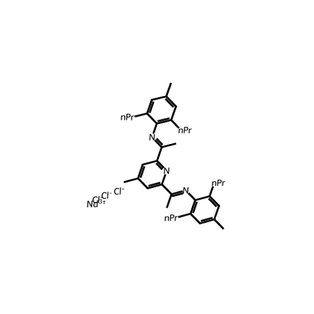 CCCc1cc(C)cc(CCC)c1N=C(C)c1cc(C)cc(C(C)=Nc2c(CCC)cc(C)cc2CCC)n1.[Cl-].[Cl-].[Cl-].[Nd+3]